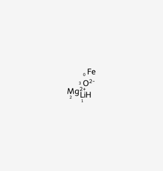 [Fe].[LiH].[Mg+2].[O-2]